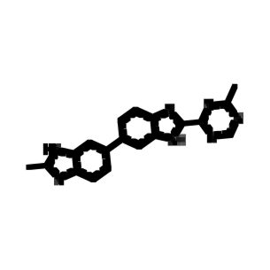 Cc1ncnc(-c2nc3ccc(-c4ccc5nc(C)[nH]c5c4)cc3[nH]2)n1